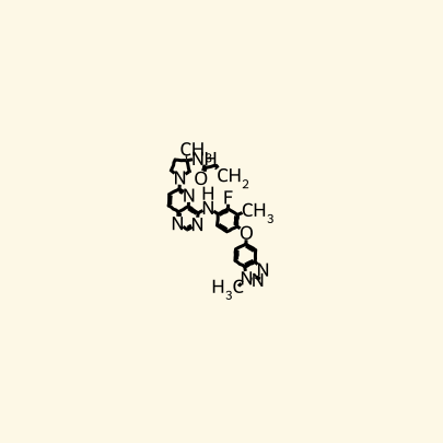 C=CC(=O)N[C@]1(C)CCN(c2ccc3ncnc(Nc4ccc(Oc5ccc6c(c5)nnn6C)c(C)c4F)c3n2)C1